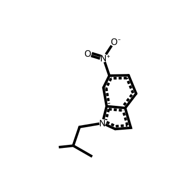 CC(C)Cn1ccc2ccc([N+](=O)[O-])cc21